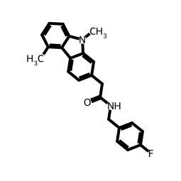 Cc1cccc2c1c1ccc(CC(=O)NCc3ccc(F)cc3)cc1n2C